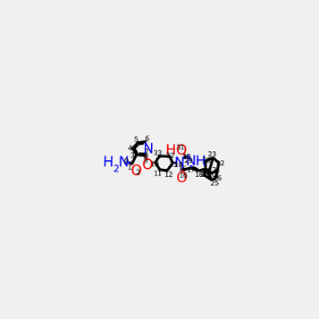 NC(=O)c1cccnc1O[C@H]1CC[C@H](N2C(=O)/C(=C/C34CC5CC(CC(C5)C3)C4)NC2O)CC1